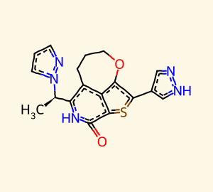 C[C@H](c1[nH]c(=O)c2sc(-c3cn[nH]c3)c3c2c1CCCO3)n1cccn1